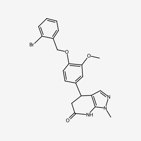 COc1cc(C2CC(=O)Nc3c2cnn3C)ccc1OCc1ccccc1Br